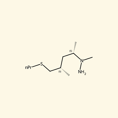 CCCSC[C@@H](C)C[C@H](C)N(C)N